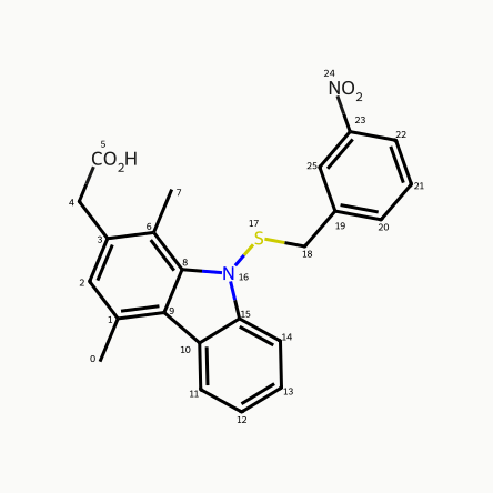 Cc1cc(CC(=O)O)c(C)c2c1c1ccccc1n2SCc1cccc([N+](=O)[O-])c1